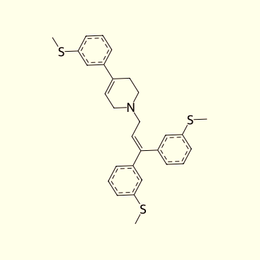 CSc1cccc(C2=CCN(CC=C(c3cccc(SC)c3)c3cccc(SC)c3)CC2)c1